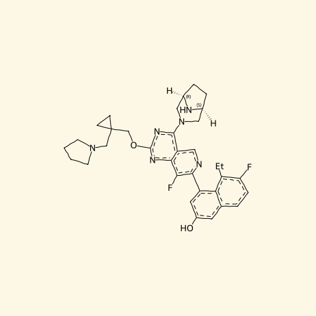 CCc1c(F)ccc2cc(O)cc(-c3ncc4c(N5C[C@H]6CC[C@@H](C5)N6)nc(OCC5(CN6CCCC6)CC5)nc4c3F)c12